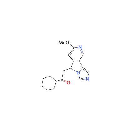 COc1cc2c(cn1)-c1cncn1C2CC(=O)C1CCCCC1